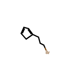 BrCCCC1=CC=CC1